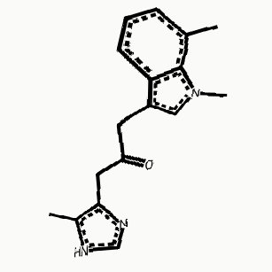 Cc1[nH]cnc1CC(=O)Cc1cn(C)c2c(C)cccc12